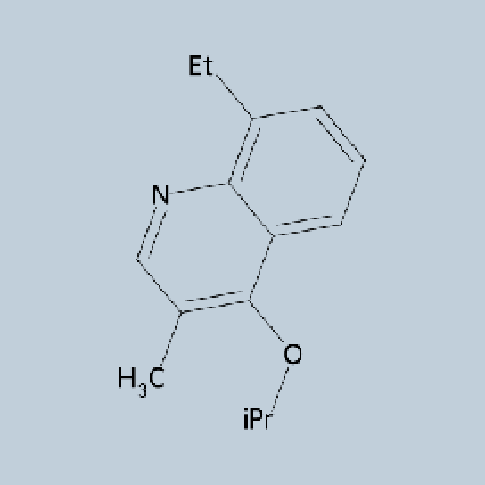 CCc1cccc2c(OC(C)C)c(C)cnc12